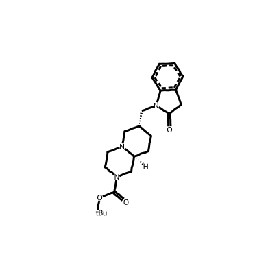 CC(C)(C)OC(=O)N1CCN2C[C@H](CN3C(=O)Cc4ccccc43)CC[C@H]2C1